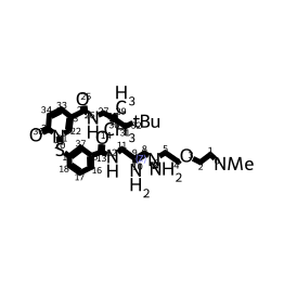 CNCCOCCN(N)/C=C(\N)CNC(=O)c1cccc(Sn2cc(C(=O)NCC(C)(C)CC(C)(C)C)ccc2=O)c1